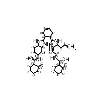 C=CCC1NC(C2CC=CCC2C2NC3CCC(NC(O)C4CCCCC4F)CC3N2)N/C1=C/CNC(O)C1CCCCC1F